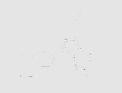 C=CCn1c(=O)n([C@@H]2O[C@H](CO)C(O)[C@@H]2O)c2nc(N)[nH]c(=O)c21